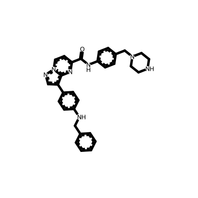 O=C(Nc1ccc(CN2CCNCC2)cc1)c1ccn2ncc(-c3ccc(NCc4ccccc4)cc3)c2n1